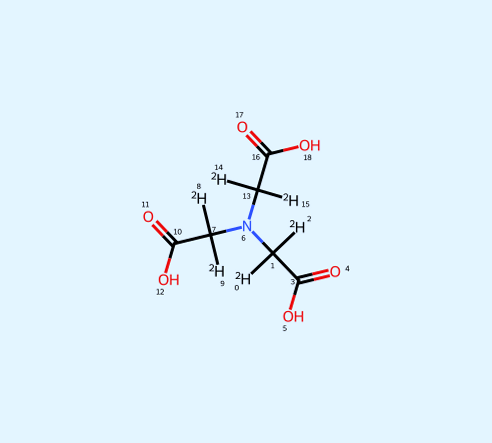 [2H]C([2H])(C(=O)O)N(C([2H])([2H])C(=O)O)C([2H])([2H])C(=O)O